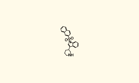 O=S(=O)(c1ccc2ccccc2c1)n1cc(C2CCCNC2)c2ccccc21